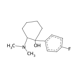 CN(C)C1CCCCC1(O)c1ccc(F)cc1